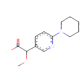 COC(C(=O)O)c1ccc(N2CCCCC2)nc1